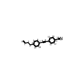 C=CCCc1ccc(C#Cc2ccc(C#N)cc2)cc1